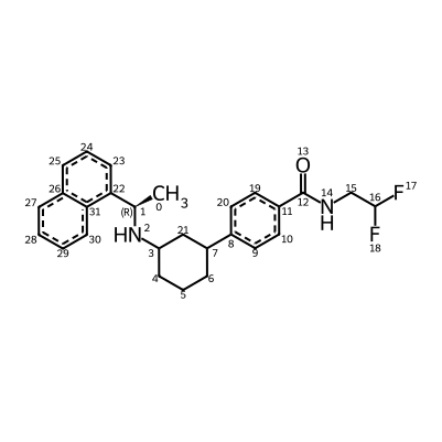 C[C@@H](NC1CCCC(c2ccc(C(=O)NCC(F)F)cc2)C1)c1cccc2ccccc12